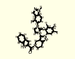 Cc1cc(-n2nc3c(c2-n2ccn(-c4ccc5c(cnn5C)c4F)c2=O)CN(C(=O)c2cc4ccccc4[nH]2)CC3)cc(C)c1F